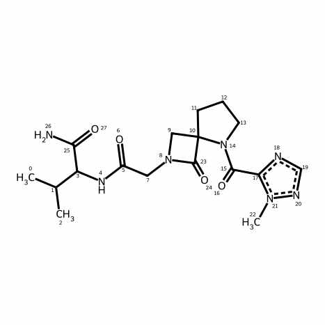 CC(C)C(NC(=O)CN1CC2(CCCN2C(=O)c2ncnn2C)C1=O)C(N)=O